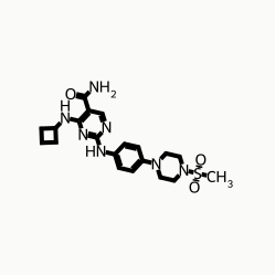 CS(=O)(=O)N1CCN(c2ccc(Nc3ncc(C(N)=O)c(NC4CCC4)n3)cc2)CC1